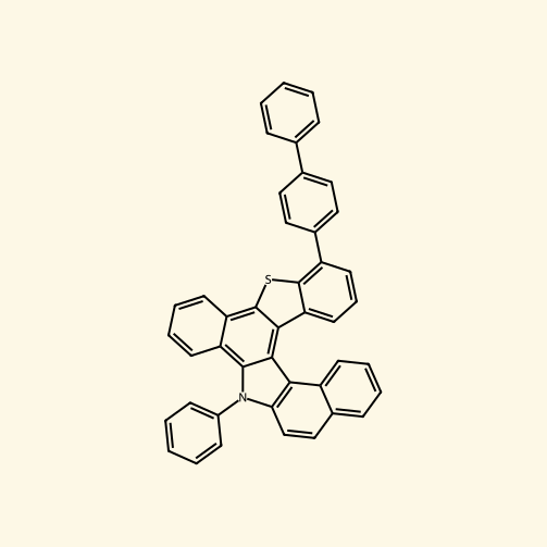 c1ccc(-c2ccc(-c3cccc4c3sc3c5ccccc5c5c(c43)c3c4ccccc4ccc3n5-c3ccccc3)cc2)cc1